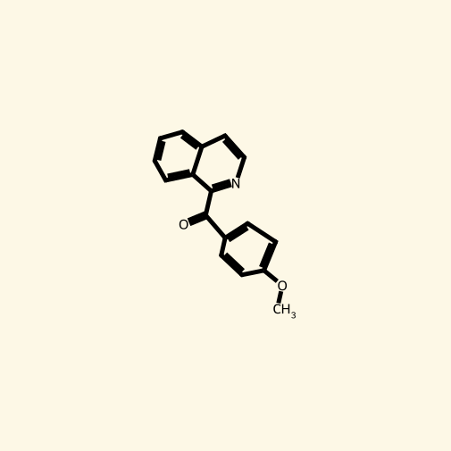 COc1ccc(C(=O)c2nccc3ccccc23)cc1